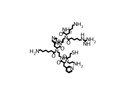 N=C(N)NCCCCC(=O)N(CCNC(=O)C(Cc1cnc[nH]1)N(CCNC(=O)C(Cc1cccnc1)N(CCN)C(=O)CCS)C(=O)CCCCCN)C(CCCCN)C(N)=O